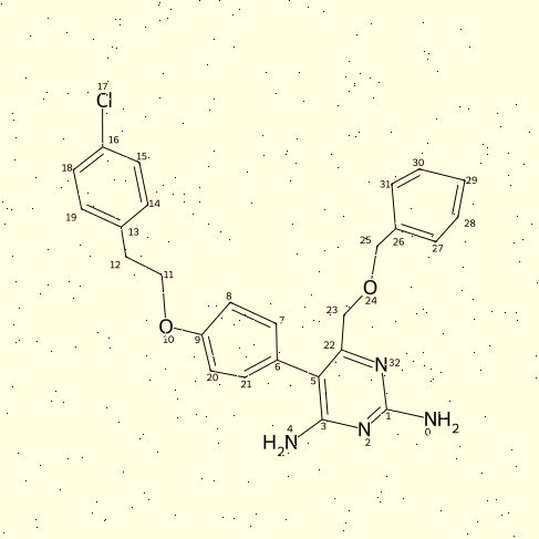 Nc1nc(N)c(-c2ccc(OCCc3ccc(Cl)cc3)cc2)c(COCc2ccccc2)n1